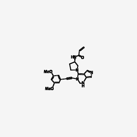 C=CC(=O)N[C@@H]1CCN(C2=C3C=NC=C3NCN2C#Cc2cc(OC)cc(OC)c2)C1